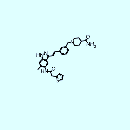 Cc1cc2[nH]nc(C=Cc3cccc(CN4CCC(C(N)=O)CC4)c3)c2cc1NC(=O)Cc1cccs1